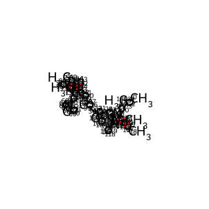 Cc1ccc(-c2ccc3c(c2)c2cc(-c4ccc(C)cc4C)ccc2n3-c2ccc(-c3ccc(Cc4ccc(-c5ccc6c7ccc(-c8ccc(C)cc8C)cc7n(-c7ccc(-c8cccc9oc%10ccccc%10c89)cc7-c7nc(-c8ccccc8)nc(-c8ccccc8)n7)c6c5)c(C)c4)c4oc5ccccc5c34)cc2-c2nc(-c3ccccc3)nc(-c3ccccc3)n2)c(C)c1